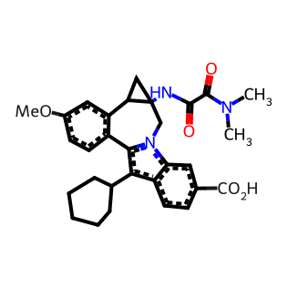 COc1ccc2c(c1)C1CC1(NC(=O)C(=O)N(C)C)Cn1c-2c(C2CCCCC2)c2ccc(C(=O)O)cc21